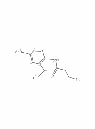 COc1ccc(NC(=O)CCF)c(CO)c1